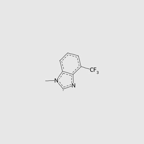 Cn1[c]nc2c(C(F)(F)F)cccc21